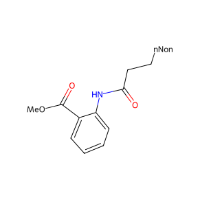 CCCCCCCCCCCC(=O)Nc1ccccc1C(=O)OC